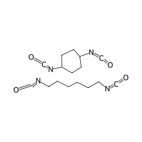 O=C=NC1CCC(N=C=O)CC1.O=C=NCCCCCCN=C=O